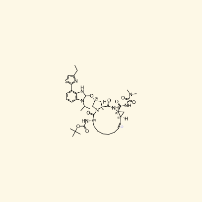 CCc1csc(-c2cccc3c2NC(O[C@@H]2C[C@H]4C(=O)N[C@]5(C(=O)NS(=O)(=O)N(C)C)C[C@H]5/C=C\CCCCC[C@H](NC(=O)OC(C)(C)C)C(=O)N4C2)N3C(C)C)n1